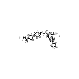 CN(CCN1CCN(c2ccc(C(N)=O)cc2)CC1)c1nc(N)n2nc(-c3ccco3)nc2n1